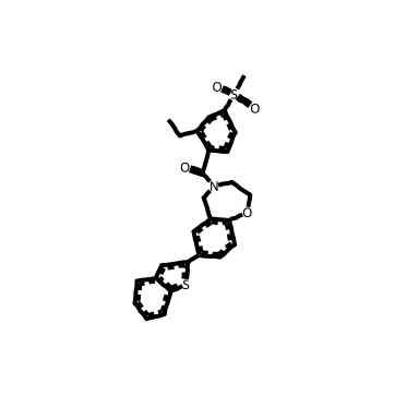 CCc1cc(S(C)(=O)=O)ccc1C(=O)N1CCOc2ccc(-c3cc4ccccc4s3)cc2C1